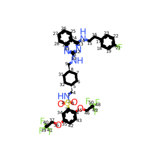 O=S(=O)(NC[C@H]1CC[C@H](CNc2nc(NCCc3ccc(F)cc3)c3ccccc3n2)CC1)c1cc(OCC(F)(F)F)ccc1OCC(F)(F)F